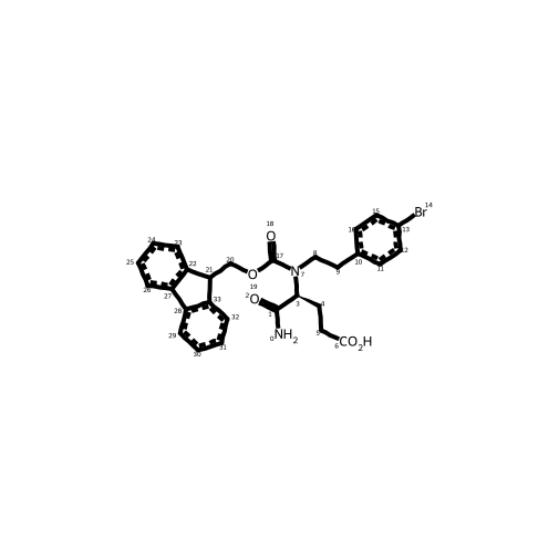 NC(=O)[C@H](CCC(=O)O)N(CCc1ccc(Br)cc1)C(=O)OCC1c2ccccc2-c2ccccc21